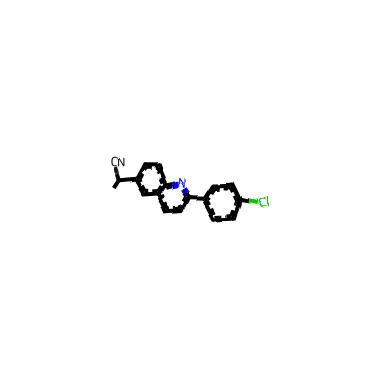 CC(C#N)c1ccc2nc(-c3ccc(Cl)cc3)ccc2c1